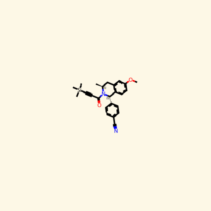 COc1ccc2c(c1)C[C@H](C)N(C(=O)C#C[Si](C)(C)C)[C@H]2c1ccc(C#N)cc1